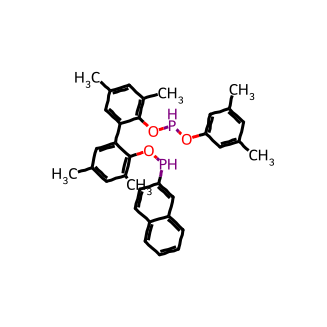 Cc1cc(C)cc(OPOc2c(C)cc(C)cc2-c2cc(C)cc(C)c2OPc2ccc3ccccc3c2)c1